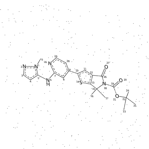 Cn1nccc1Nc1cc(-c2cc3c(s2)C(C)(C)N(C(=O)OC(C)(C)C)C3=O)ccn1